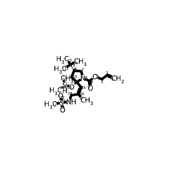 C=CCOC(=O)N1C[C@@H](C(C)(C)C)C[C@@]1(C=C(C)CNS(C)(=O)=O)O[SiH](C)C